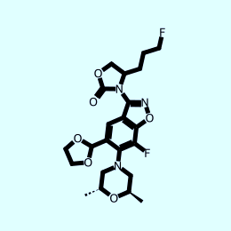 C[C@@H]1CN(c2c(C3OCCO3)cc3c(N4C(=O)OCC4CCCF)noc3c2F)C[C@@H](C)O1